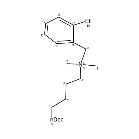 CCCCCCCCCCCCCC[N+](C)(C)Cc1ccccc1CC